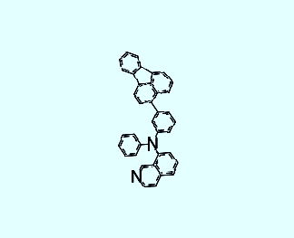 c1ccc(N(c2cccc(-c3ccc4c5c(cccc35)-c3ccccc3-4)c2)c2cccc3ccncc23)cc1